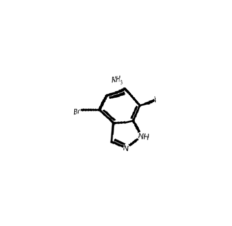 Brc1ccc(I)c2[nH]ncc12.N